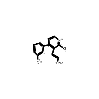 CO/C=C/c1c(-c2cccc(C(F)(F)F)c2)ccnc1Cl